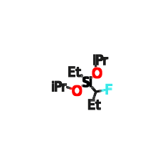 CCC(F)[Si](CC)(OC(C)C)OC(C)C